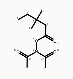 CCC(C)(C)CC(=O)ON(C(C)=O)C(C)=O